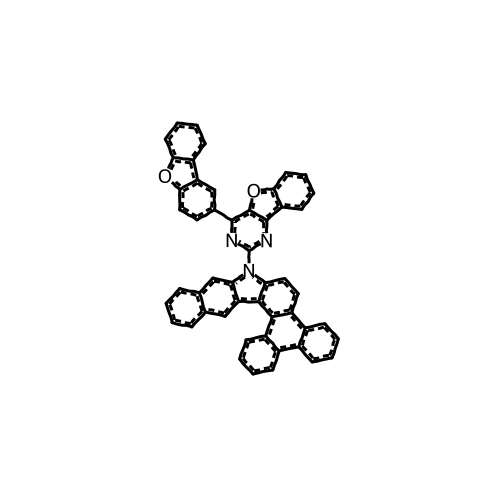 c1ccc2cc3c(cc2c1)c1c2c4ccccc4c4ccccc4c2ccc1n3-c1nc(-c2ccc3oc4ccccc4c3c2)c2oc3ccccc3c2n1